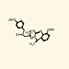 C=C1c2cccc(OC)c2N=C(N)N1/N=C(\C)CN(CC)Cc1ccc(SC)cc1